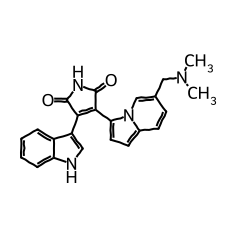 CN(C)Cc1ccc2ccc(C3=C(c4c[nH]c5ccccc45)C(=O)NC3=O)n2c1